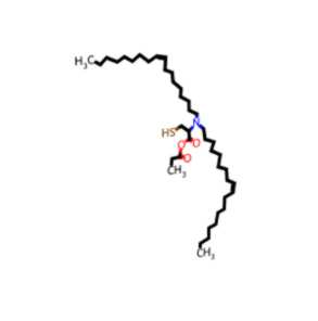 CCCCCCCC/C=C\CCCCCCCCN(CCCCCCCC/C=C\CCCCCCCC)C(CS)C(=O)OC(=O)CC